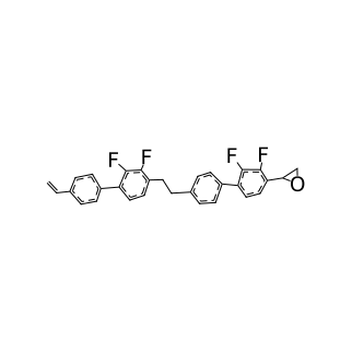 C=Cc1ccc(-c2ccc(CCc3ccc(-c4ccc(C5CO5)c(F)c4F)cc3)c(F)c2F)cc1